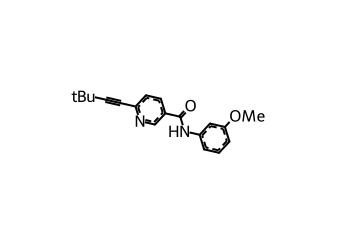 COc1cccc(NC(=O)c2ccc(C#CC(C)(C)C)nc2)c1